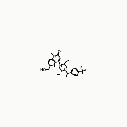 CCC1CN(C(C)c2ccc(C(F)(F)F)cc2)[C@H](CC)CN1c1nc(=O)n(C)c2ccc(CO)nc12